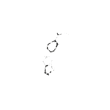 COC(=O)c1ccc(C2Cn3nccc3CN2)cc1